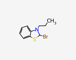 CCCN1c2ccccc2SC1Br